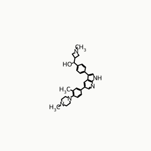 Cc1cc(-c2cnc3[nH]cc(-c4ccc([C@@H](O)C5CN(C)C5)cc4)c3c2)ccc1N1CCN(C)CC1